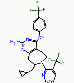 Nc1nc2c(c(Nc3ccc(C(F)(F)F)cc3)n1)CCN(c1ncccc1C(F)(F)F)C(CC1CC1)C2